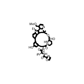 CCn1c(-c2cnccc2COC)c2c3cc(ccc31)-c1cc(O)cc(c1)C[C@H](NC(=O)[C@@H](NC(=O)c1ncco1)C(C)C)C(=O)N1CCCC(C=O)(COCC(C)(C)C2)N1